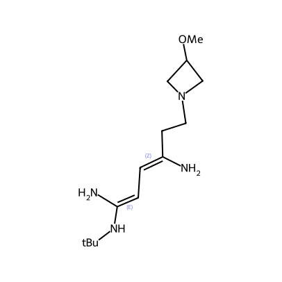 COC1CN(CC/C(N)=C/C=C(\N)NC(C)(C)C)C1